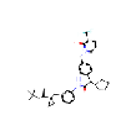 C=C(CC(C)(C)C)C1(Cc2cccc(NC(=O)C(c3ccc(Cn4cccc(C(F)(F)F)c4=O)cc3)C3CCCC3)c2)CC1